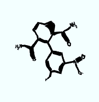 NC(=O)c1cccc(C(N)=O)c1-c1cc(F)cc([N+](=O)[O-])c1